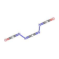 O=C=NN=C=NN=C=O